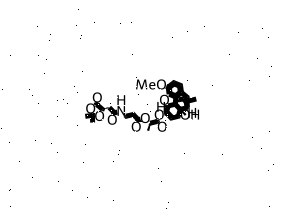 COc1ccc2c3c1O[C@H]1C(OC(=O)[C@@H](C)OC(=O)CCNC(=O)C[C@@H]4OC(C)(C)OC4=O)=CC[C@@]4(O)[C@@H](C2)C(C)CC[C@]314